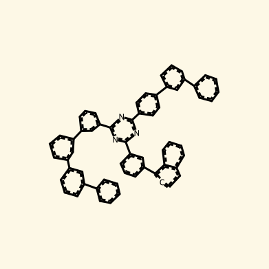 c1ccc(-c2cccc(-c3ccc(-c4nc(-c5cccc(-c6cccc(-c7cccc(-c8ccccc8)c7)c6)c5)nc(-c5cccc(-c6cccc7ccccc67)c5)n4)cc3)c2)cc1